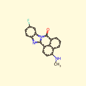 CNc1ccc2c3c1cccc3c(=O)n1c3cc(F)ccc3nc21